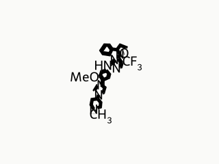 COc1cc(Nc2ncc(C(F)(F)F)c(N3OCCC3c3ccccc3)n2)ccc1N1CCN(C2CCN(C)CC2)CC1